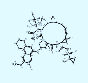 CC[C@@H]1C[C@H](C)CC/C=C\[C@@H]2C[C@@]2(C(=O)NS(=O)(=O)C2(C)CC2)NC(=O)[C@@H]2C[C@@H](Oc3nc4c(c5cc(OC)c(F)cc35)CCCO4)CN2C(=O)[C@H]1N(C(=O)O)C(C)(C)C(F)(F)F